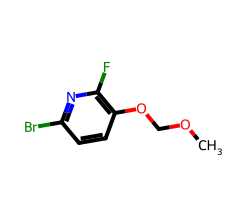 COCOc1ccc(Br)nc1F